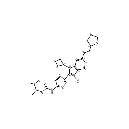 CC(C)[C@H](C)OC(=O)Nc1ccc(-c2c(N)c3ccc(OCC4COCO4)cc3n2C2CCC2)cc1